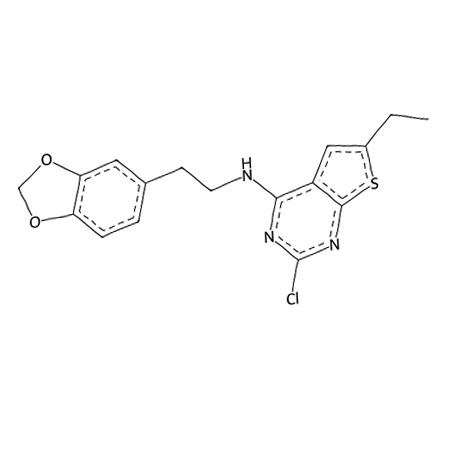 CCc1cc2c(NCCc3ccc4c(c3)OCO4)nc(Cl)nc2s1